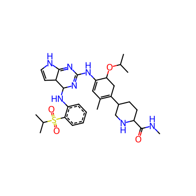 CNC(=O)C1CCC(C2=C(C)C=C(NC3=NC(Nc4ccccc4S(=O)(=O)C(C)C)C4C=CNC4=N3)C(OC(C)C)C2)CN1